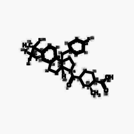 C[C@@H]1CC(C(=O)N2CC[C@@]3(Cc4ccc(F)cc4)c4ccc(C(C)(F)C(F)(F)F)cc4CC[C@@H]23)CC[C@H]1C(=O)O